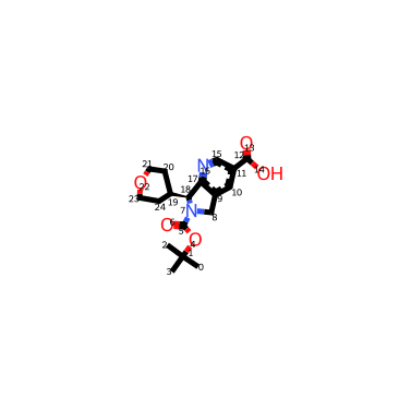 CC(C)(C)OC(=O)N1Cc2cc(C(=O)O)cnc2[C@@H]1C1CCOCC1